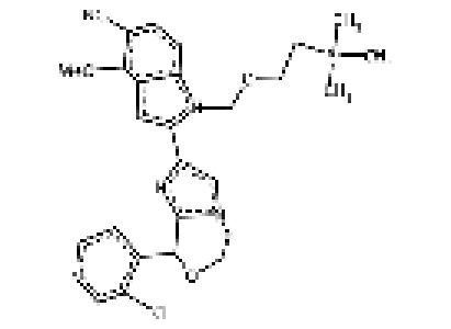 COc1c(C#N)ccc2c1cc(-c1cn3c(n1)C(c1ccccc1Cl)OCC3)n2COCC[Si](C)(C)C